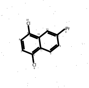 CC(C)c1ccc2c(Cl)ccc(Cl)c2c1